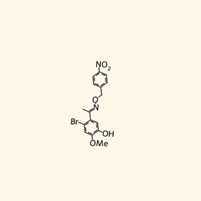 COc1cc(Br)c(/C(C)=N/OCc2ccc([N+](=O)[O-])cc2)cc1O